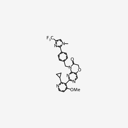 COc1ccnc(C2CC2)c1-c1ncc2c(n1)N(Cc1ccc(-c3nc(C(F)(F)F)cn3C)cc1)C(=O)CO2